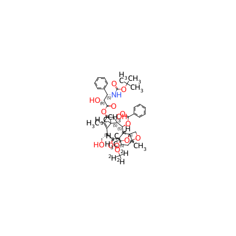 [2H]C([2H])([2H])O[C@H]1C[C@@]2(C)OC[C@@]2(OC(C)=O)[C@H]2[C@H](OC(=O)c3ccccc3)[C@]3(O)C[C@H](OC(=O)[C@H](O)[C@@H](NC(=O)OC(C)(C)C)c4ccccc4)C(C)=C([C@@H](CO)C(=O)[C@]12C)C3(C)C